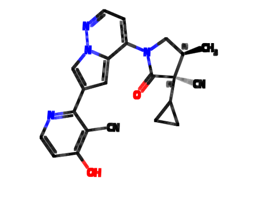 C[C@@H]1CN(c2ccnn3cc(-c4nccc(O)c4C#N)cc23)C(=O)[C@]1(C#N)C1CC1